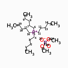 CCCCC[P+](CCCCC)(CCCCC)CCCCC.COP(=O)([O-])OC